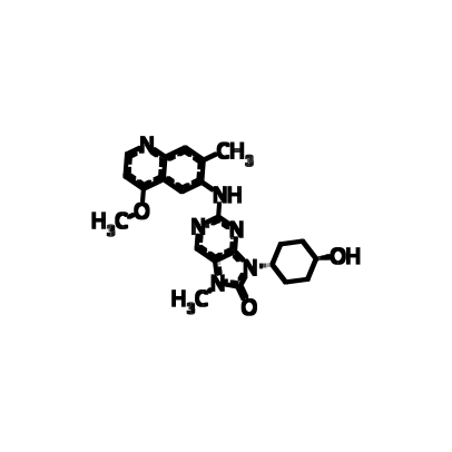 COc1ccnc2cc(C)c(Nc3ncc4c(n3)n([C@H]3CC[C@H](O)CC3)c(=O)n4C)cc12